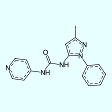 Cc1cc(NC(=O)Nc2ccncc2)n(-c2ccccc2)n1